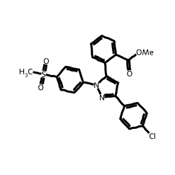 COC(=O)c1ccccc1-c1cc(-c2ccc(Cl)cc2)nn1-c1ccc(S(C)(=O)=O)cc1